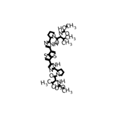 COC(=O)N[C@H](C(=O)N1CCCC1c1ncc(-c2csc3c(-c4cnc(C5CCCN5C(=O)[C@@H](NC(=O)OC)C(C)C)[nH]4)csc23)[nH]1)C(C)C